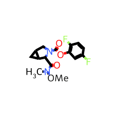 CON(C)C(=O)C1C2CC2CN1C(=O)Oc1cc(F)ccc1F